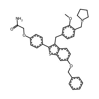 COc1cc(Cc2c(-c3ccc(OCC(N)=O)cc3)sc3cc(OCc4ccccc4)ccc23)ccc1CN1CCCC1